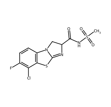 CS(=O)(=O)NC(=O)C1CN2C(=N1)Sc1c2ccc(F)c1Cl